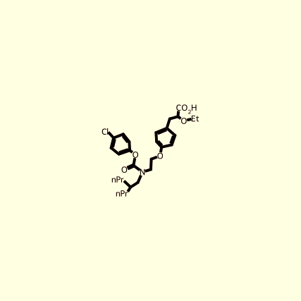 CCCC(CCC)CN(CCOc1ccc(CC(OCC)C(=O)O)cc1)C(=O)Oc1ccc(Cl)cc1